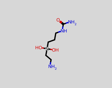 NCC[Si](O)(O)CCCNC(N)=O